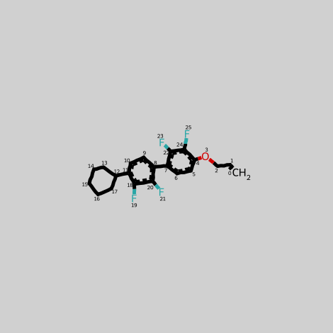 C=CCOc1ccc(-c2ccc(C3CCCCC3)c(F)c2F)c(F)c1F